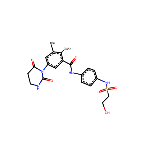 COc1c(C(=O)Nc2ccc(NS(=O)(=O)CCO)cc2)cc(N2C(=O)CCNC2=O)cc1C(C)(C)C